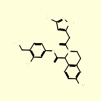 COc1ccc2c(c1)CCN(C(=O)Cc1cc(O)no1)C2C(=O)Nc1ccc(CC(C)(C)C)c(F)c1